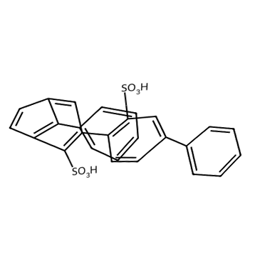 O=S(=O)(O)c1cc(-c2ccccc2)ccc1-c1cc2c(-c3ccccc3)c(c1S(=O)(=O)O)C=C2